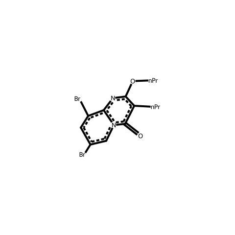 CCCOc1nc2c(Br)cc(Br)cn2c(=O)c1CCC